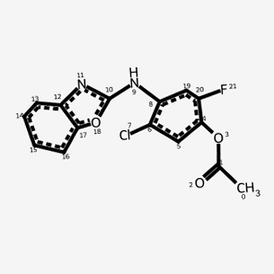 CC(=O)Oc1cc(Cl)c(Nc2nc3ccccc3o2)cc1F